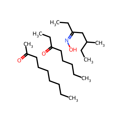 CCC(CC(C)CC)=NO.CCCCCC(=O)CC.CCCCCCCC(C)=O